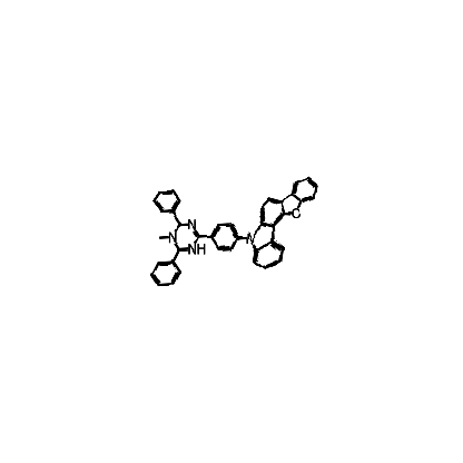 CN1C(c2ccccc2)N=C(c2ccc(-n3c4ccccc4c4c5oc6ccccc6c5ccc43)cc2)NC1c1ccccc1